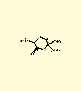 CCCCCCC1OCC(C=O)(CCCCCC)OC1=O